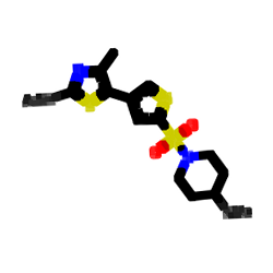 CNC1CCN(S(=O)(=O)c2cc(-c3sc(NC(C)=O)nc3C)cs2)CC1